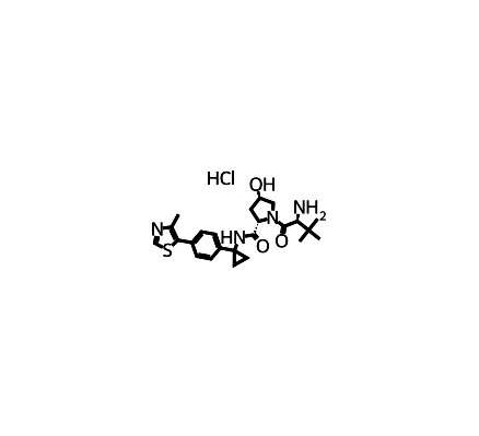 Cc1ncsc1-c1ccc(C2(NC(=O)[C@@H]3C[C@@H](O)CN3C(=O)[C@@H](N)C(C)(C)C)CC2)cc1.Cl